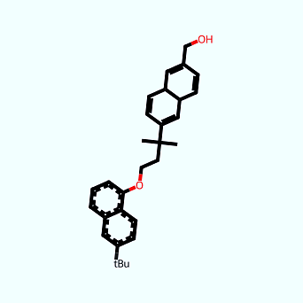 CC(C)(CCOc1cccc2cc(C(C)(C)C)ccc12)C1=CC2C=CC(CO)=CC2C=C1